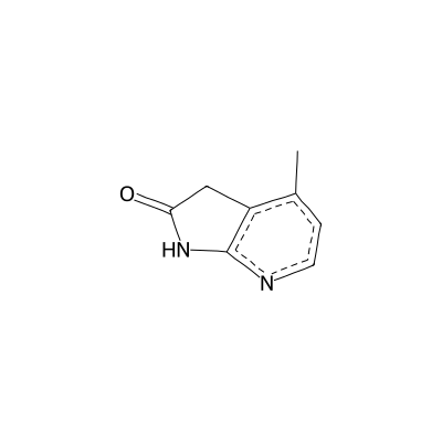 Cc1ccnc2c1CC(=O)N2